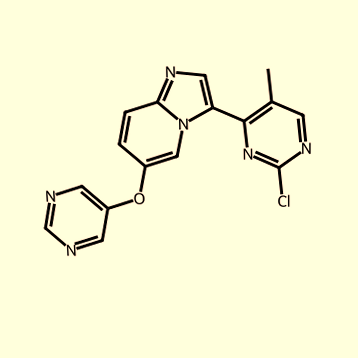 Cc1cnc(Cl)nc1-c1cnc2ccc(Oc3cncnc3)cn12